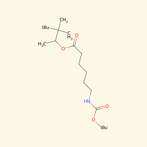 CC(OC(=O)CCCCCNC(=O)OC(C)(C)C)C(C)(C)C(C)(C)C